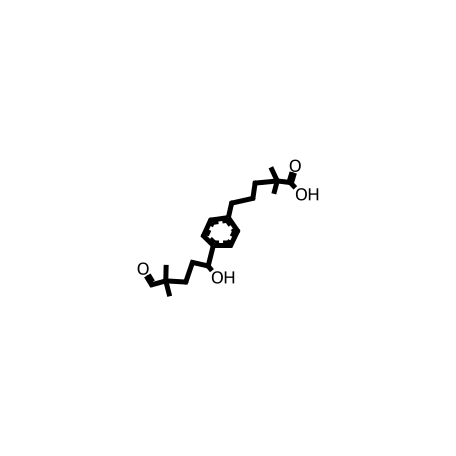 CC(C)(C=O)CCC(O)c1ccc(CCCC(C)(C)C(=O)O)cc1